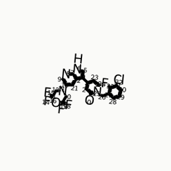 O=c1cc(-c2c[nH]c3ncc(N4CC(F)(F)OC(F)(F)C4)cc23)ccn1Cc1cccc(Cl)c1F